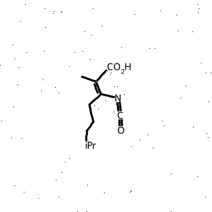 CC(C(=O)O)=C(CCCC(C)C)N=C=O